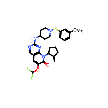 COc1cccc(SN2CCC(Nc3ncc4cc(OC(F)F)c(=O)n(C5CCCC5C)c4n3)CC2)c1